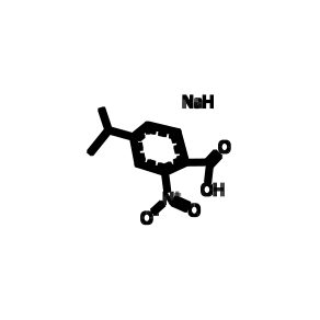 CC(C)c1ccc(C(=O)O)c([N+](=O)[O-])c1.[NaH]